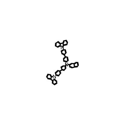 c1ccc2cc(N(c3ccc(-c4ccc(-n5c6ccccc6c6ccccc65)cc4)cc3)c3ccc(-c4ccc(-n5c6ccccc6c6ccccc65)cc4)cc3)ccc2c1